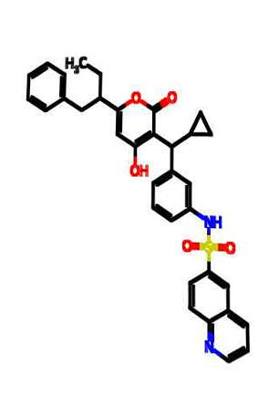 CCC(Cc1ccccc1)c1cc(O)c(C(c2cccc(NS(=O)(=O)c3ccc4ncccc4c3)c2)C2CC2)c(=O)o1